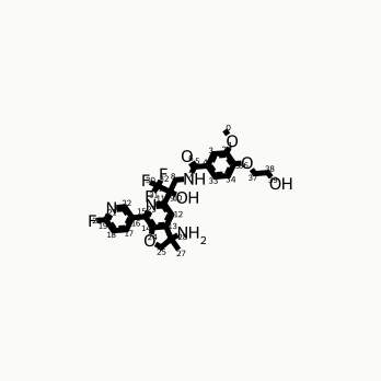 COc1cc(C(=O)NCC(O)(c2cc3c(c(-c4ccc(F)nc4)n2)OCC3(C)N)C(F)(F)F)ccc1OCCO